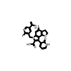 C=C(N)c1cnc(F)c(Cn2c(C(=O)O)c(-c3ccc[nH]c3=O)c3c4c(c(F)cc32)CCO4)c1